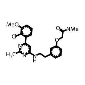 CNC(=O)COc1cccc(CCNc2cc(-c3cccc(OC)c3Cl)nc(C)n2)c1